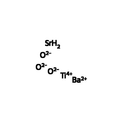 [Ba+2].[O-2].[O-2].[O-2].[SrH2].[Ti+4]